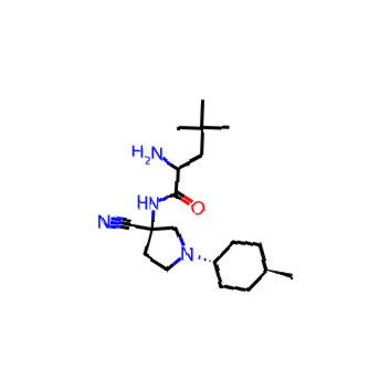 CC(C)(C)CC(N)C(=O)NC1(C#N)CCN([C@H]2CC[C@H](C)CC2)C1